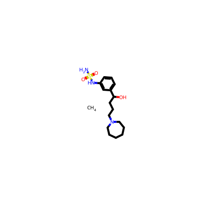 C.NS(=O)(=O)Nc1cccc(C(O)CCCN2CCCCCC2)c1